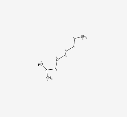 CC(O)COCCCCN